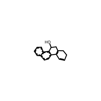 OC1CC2=C(C=CCC2)c2ccc3ccccc3c21